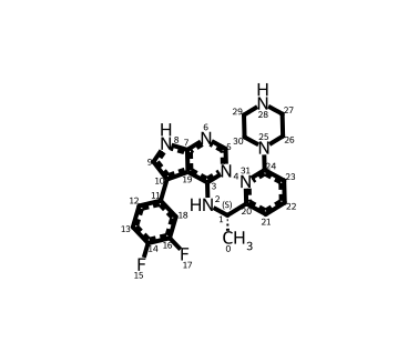 C[C@H](Nc1ncnc2[nH]cc(-c3ccc(F)c(F)c3)c12)c1cccc(N2CCNCC2)n1